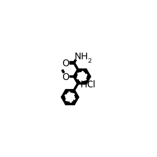 COc1c(C(N)=O)cccc1-c1ccccc1.Cl